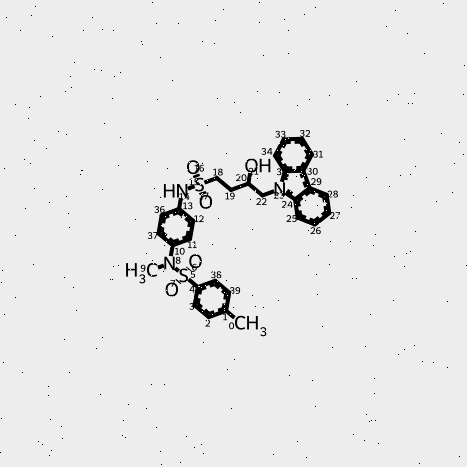 Cc1ccc(S(=O)(=O)N(C)c2ccc(NS(=O)(=O)CCC(O)Cn3c4ccccc4c4ccccc43)cc2)cc1